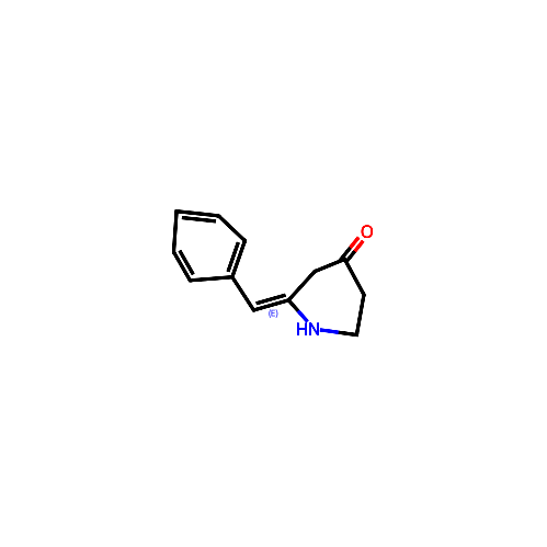 O=C1CCN/C(=C/c2ccccc2)C1